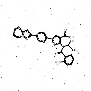 Cc1ccccc1C(=O)N(c1nn(-c2ccc(-c3cc4ncccn4n3)cc2)cc1C(=O)O)C(C)C